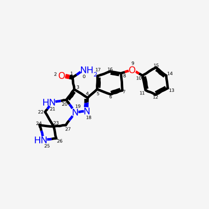 NC(=O)c1c(-c2ccc(Oc3ccccc3)cc2)nn2c1NCC1(CNC1)C2